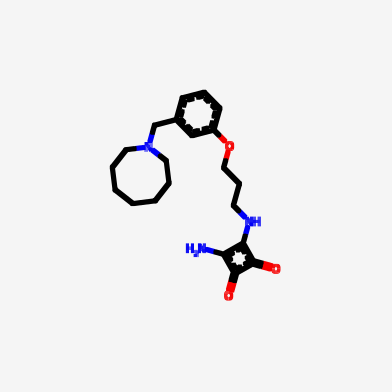 Nc1c(NCCCOc2cccc(CN3CCCCCCC3)c2)c(=O)c1=O